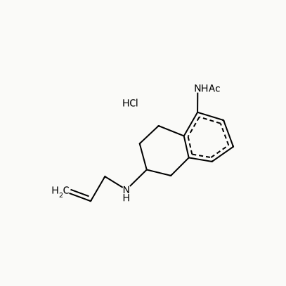 C=CCNC1CCc2c(cccc2NC(C)=O)C1.Cl